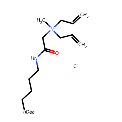 C=CC[N+](C)(CC=C)CC(=O)NCCCCCCCCCCCCCC.[Cl-]